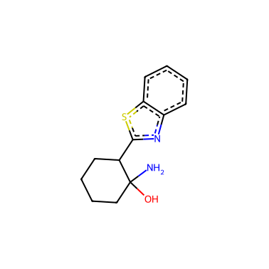 NC1(O)CCCCC1c1nc2ccccc2s1